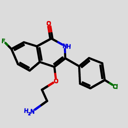 NCCOc1c(-c2ccc(Cl)cc2)[nH]c(=O)c2cc(F)ccc12